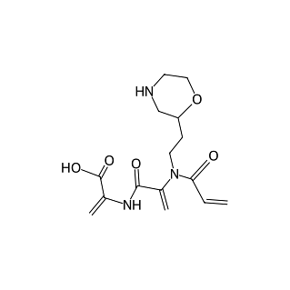 C=CC(=O)N(CCC1CNCCO1)C(=C)C(=O)NC(=C)C(=O)O